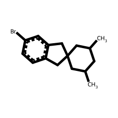 CC1CC(C)CC2(Cc3ccc(Br)cc3C2)C1